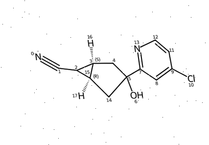 N#CC1[C@H]2CC(O)(c3cc(Cl)ccn3)C[C@@H]12